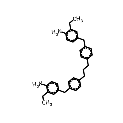 CCc1cc(Cc2ccc(CCCc3ccc(Cc4ccc(N)c(CC)c4)cc3)cc2)ccc1N